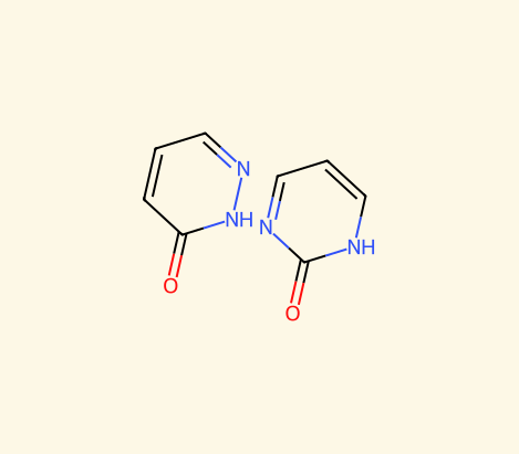 O=c1cccn[nH]1.O=c1nccc[nH]1